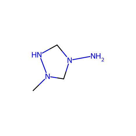 CN1CN(N)CN1